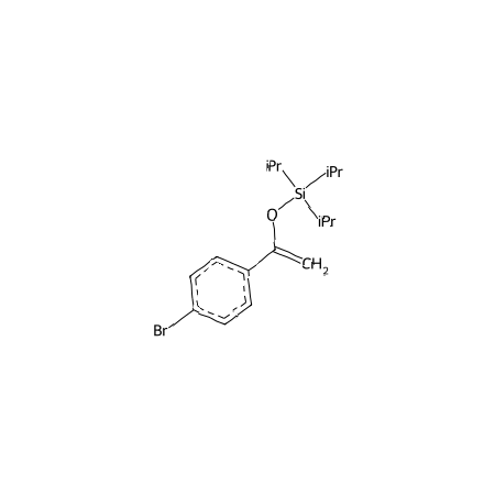 C=C(O[Si](C(C)C)(C(C)C)C(C)C)c1ccc(Br)cc1